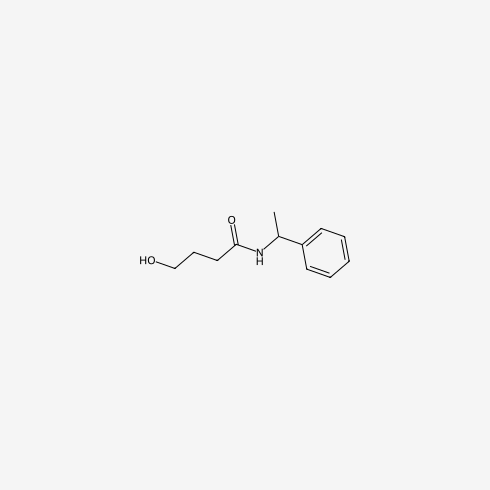 CC(NC(=O)CCCO)c1ccccc1